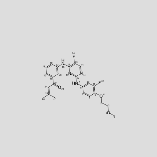 COCCOc1ccc(Nc2ncc(F)c(Nc3cccc(C(=O)C=C(C)C)c3)n2)cc1F